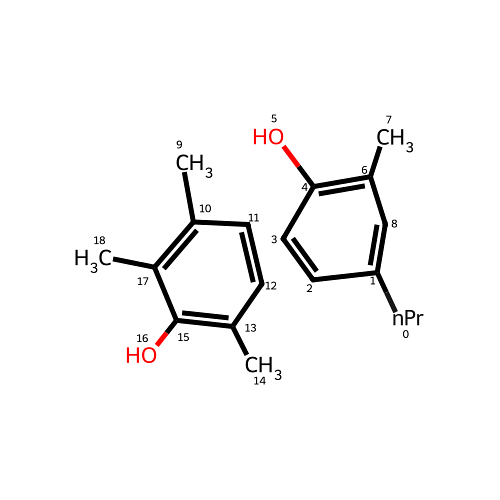 CCCc1ccc(O)c(C)c1.Cc1ccc(C)c(O)c1C